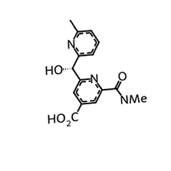 CNC(=O)c1cc(C(=O)O)cc([C@H](O)c2cccc(C)n2)n1